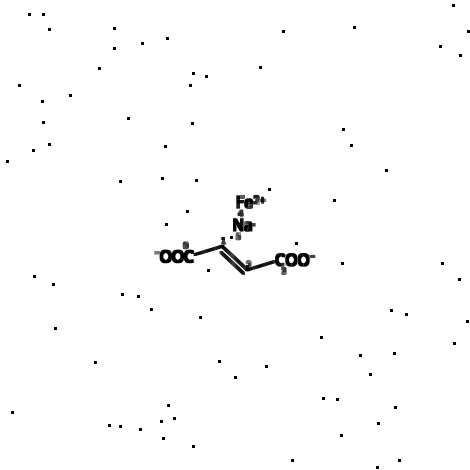 O=C([O-])/C=C/C(=O)[O-].[Fe+2].[Na]